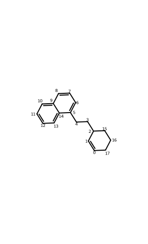 C1=CC(CCc2cccc3ccccc23)CCC1